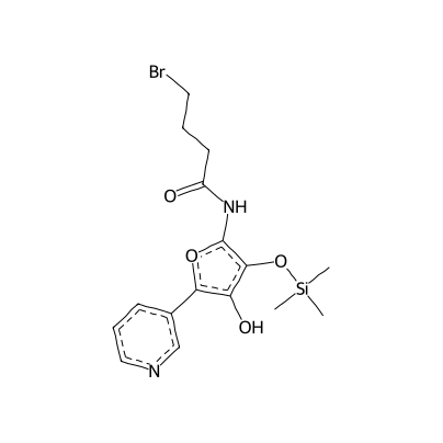 C[Si](C)(C)Oc1c(NC(=O)CCCBr)oc(-c2cccnc2)c1O